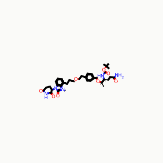 C[C@@H](OCc1ccc(CCOCCCc2cccc3c2n(C)c(=O)n3C2CCC(=O)NC2=O)cc1)[C@H](CCC(N)=O)NC(=O)OC(C)(C)C